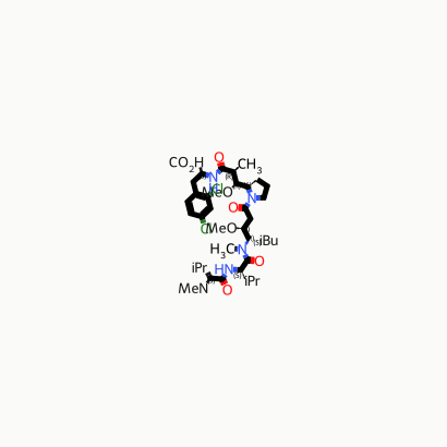 CC[C@H](C)[C@H]([C@@H](CC(=O)N1CCC[C@H]1[C@H](OC)[C@@H](C)C(=O)N[C@@H](Cc1ccc(Cl)cc1Cl)C(=O)O)OC)N(C)C(=O)[C@@H](NC(=O)[C@@H](NC)C(C)C)C(C)C